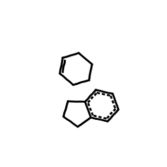 C1=CCCCC1.c1ccc2c(c1)CCC2